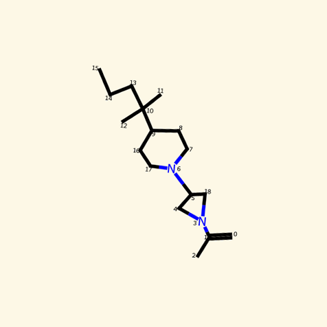 C=C(C)N1CC(N2CCC(C(C)(C)CCC)CC2)C1